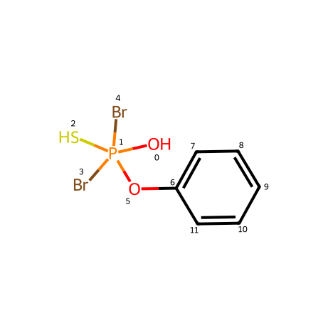 OP(S)(Br)(Br)Oc1ccccc1